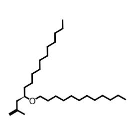 C=C(C)C[C@@H](CCCCCCCCCCC)OCCCCCCCCCCCC